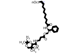 CCCCCCCC/C=C\CCCCCCCC(=O)N[C@H](COC(=O)CCNC(=O)C1OC(C)(C)OCC1(C)C)c1ccccc1